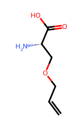 C=CCOC[C@H](N)C(=O)O